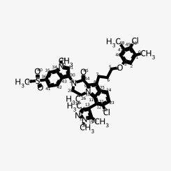 Cc1cc(OCCCc2c3n(c4c(-c5c(C)nn(C)c5C)c(Cl)ccc24)C(C)CN(c2cn(C)c4cc(S(C)(=O)=O)ccc24)C3=O)cc(C)c1Cl